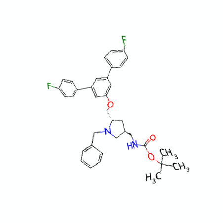 CC(C)(C)OC(=O)NC[C@@H]1C[C@@H](COc2cc(-c3ccc(F)cc3)cc(-c3ccc(F)cc3)c2)N(Cc2ccccc2)C1